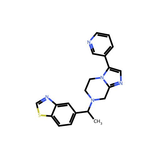 CC(c1ccc2scnc2c1)N1CCn2c(-c3cccnc3)cnc2C1